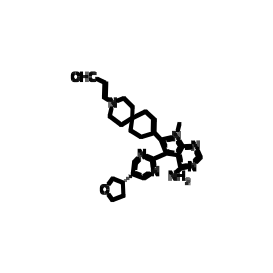 Cn1c(C2=CCC3(CC2)CCN(C=CC=O)CC3)c(-c2ncc([C@@H]3CCOC3)cn2)c2c(N)ncnc21